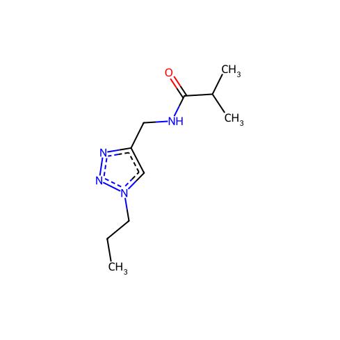 CCCn1cc(CNC(=O)C(C)C)nn1